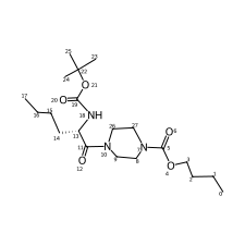 CCCCOC(=O)N1CCN(C(=O)[C@H](CCCC)NC(=O)OC(C)(C)C)CC1